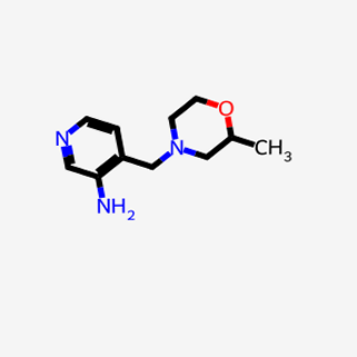 CC1CN(Cc2ccncc2N)CCO1